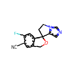 N#Cc1cc2c(cc1F)C1(CCn3cncc31)OC2